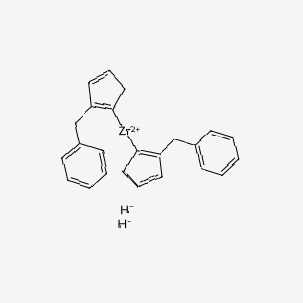 C1=CC(Cc2ccccc2)=[C]([Zr+2][C]2=C(Cc3ccccc3)C=CC2)C1.[H-].[H-]